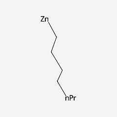 CCCCCC[CH2][Zn]